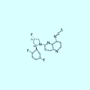 Fc1ccc(F)c([C@H]2C[C@H](F)CN2c2ccc3nccc(N=C=S)c3n2)c1